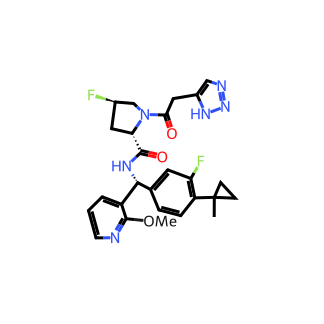 COc1ncccc1[C@H](NC(=O)[C@@H]1C[C@@H](F)CN1C(=O)Cc1cnn[nH]1)c1ccc(C2(C)CC2)c(F)c1